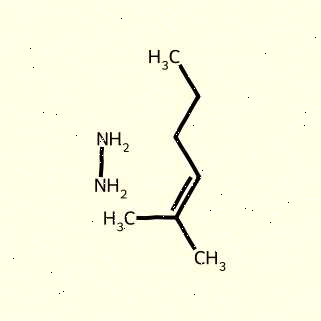 CCCC=C(C)C.NN